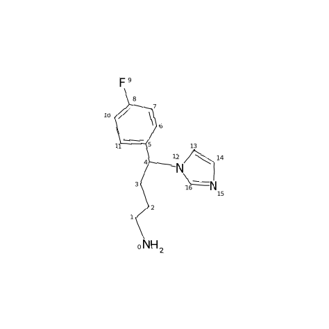 NCCCC(c1ccc(F)cc1)n1ccnc1